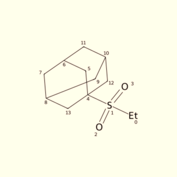 CCS(=O)(=O)C12CC3CC(CC(C3)C1)C2